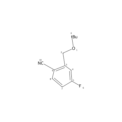 CC(C)(C)OCc1cc(F)ccc1C#N